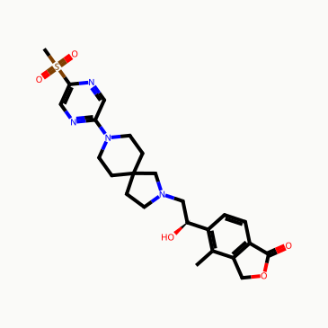 Cc1c([C@@H](O)CN2CCC3(CCN(c4cnc(S(C)(=O)=O)cn4)CC3)C2)ccc2c1COC2=O